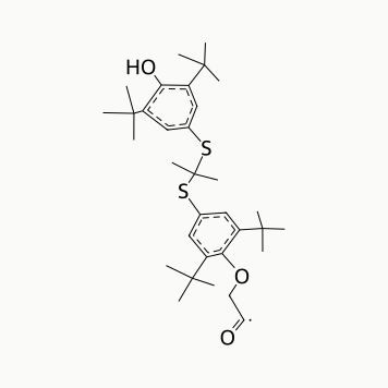 CC(C)(Sc1cc(C(C)(C)C)c(O)c(C(C)(C)C)c1)Sc1cc(C(C)(C)C)c(OC[C]=O)c(C(C)(C)C)c1